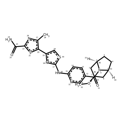 CO[C@H]1C[C@H]2CC[C@@H](C1)N2C(=O)c1ccc(Nc2nc(-c3sc(C(N)=O)nc3C)cs2)nc1